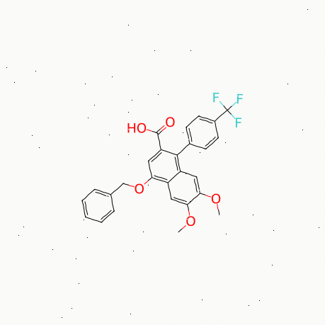 COc1cc2c(OCc3ccccc3)cc(C(=O)O)c(-c3ccc(C(F)(F)F)cc3)c2cc1OC